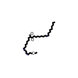 CCCCC/C=C\C/C=C\CCCCCCC([C]=O)C(=O)CCCCCCC/C=C\CCCCCCCC